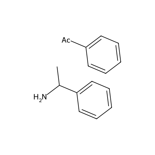 CC(=O)c1ccccc1.CC(N)c1ccccc1